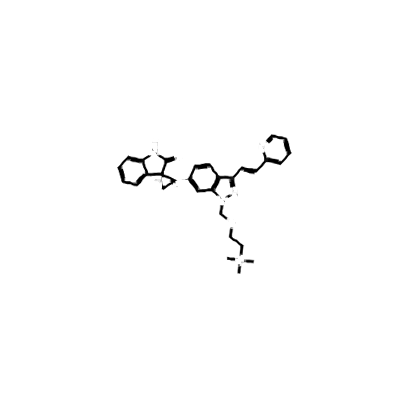 C[Si](C)(C)CCOCn1nc(C=Cc2ccccn2)c2ccc([C@@H]3C[C@@]34C(=O)Nc3ccccc34)cc21